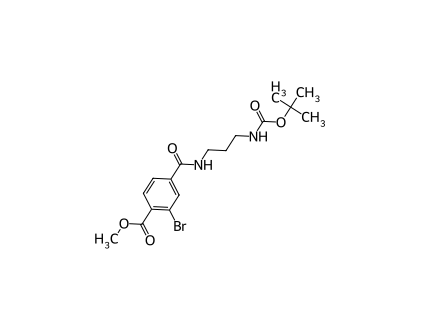 COC(=O)c1ccc(C(=O)NCCCNC(=O)OC(C)(C)C)cc1Br